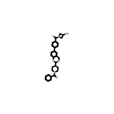 O=C(c1ccccc1)N1CCC(C2OCc3cc(-c4ccc(C(=O)N5CC(O)C5)cc4)ccc3O2)CC1